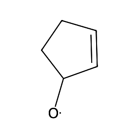 [O]C1C=CCC1